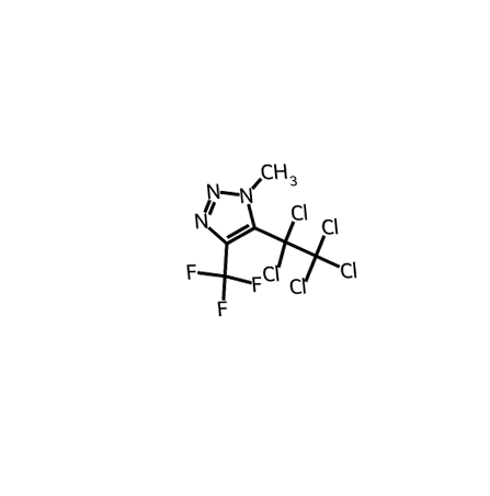 Cn1nnc(C(F)(F)F)c1C(Cl)(Cl)C(Cl)(Cl)Cl